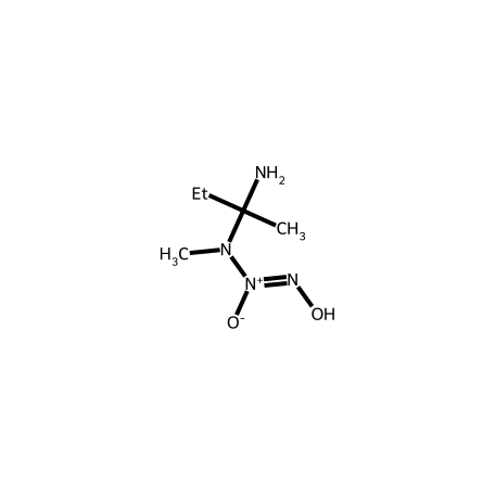 CCC(C)(N)N(C)/[N+]([O-])=N/O